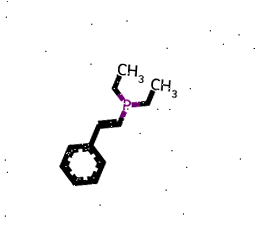 CCP(C=Cc1ccccc1)CC